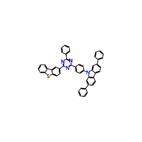 c1ccc(-c2ccc3c4ccc(-c5ccccc5)cc4n(-c4ccc(-c5nc(-c6ccccc6)nc(-c6ccc7sc8ccccc8c7c6)n5)cc4)c3c2)cc1